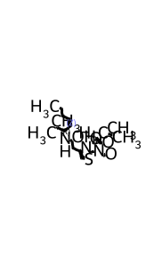 CCC/C=C\[C@H](NC(O)Cc1csc(N(C=O)C(=O)OC(C)(C)C)n1)C(C)C